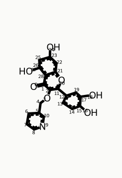 O=c1c(OCc2cccnc2)c(-c2ccc(O)c(O)c2)oc2cc(O)cc(O)c12